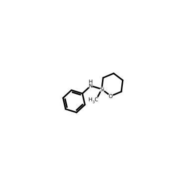 C[Si]1(Nc2ccccc2)CCCCO1